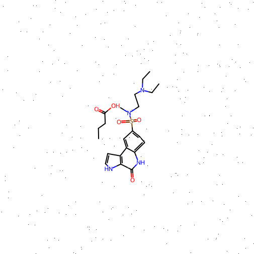 CCCC(=O)O.CCN(CC)CCN(C)S(=O)(=O)c1ccc2[nH]c(=O)c3[nH]ccc3c2c1